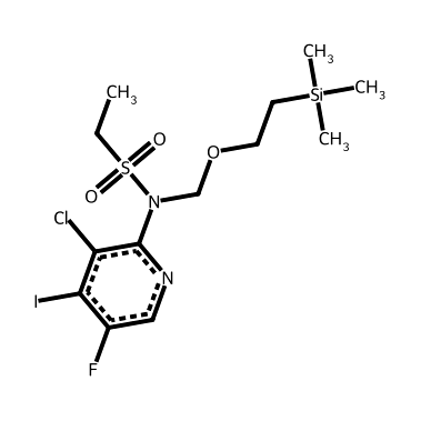 CCS(=O)(=O)N(COCC[Si](C)(C)C)c1ncc(F)c(I)c1Cl